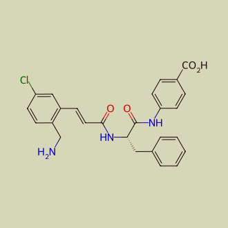 NCc1ccc(Cl)cc1/C=C/C(=O)N[C@@H](Cc1ccccc1)C(=O)Nc1ccc(C(=O)O)cc1